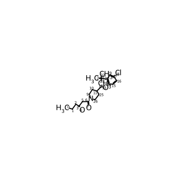 CCCC(=O)CC(=O)N1CCC(COc2ccc(Cl)cc2C(C)(C)C)CC1